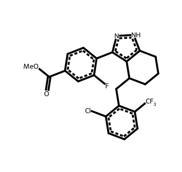 COC(=O)c1ccc(-c2n[nH]c3c2C(Cc2c(Cl)cccc2C(F)(F)F)CCC3)c(F)c1